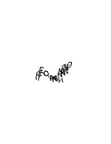 CC1C(=O)N2CCCc3nc(NCc4cnn(Cc5cccc(C(F)(F)F)c5)c4)nc(c32)N1C